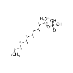 CCCCCCCCCCC(N)OP(=O)(O)O